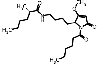 CCCCCC(=O)N1C(=O)C=C(OC)[C@@H]1CCCCNC(=O)[C@@H](C)CCCC